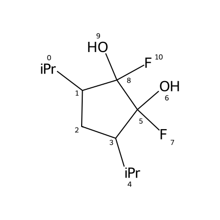 CC(C)C1CC(C(C)C)C(O)(F)C1(O)F